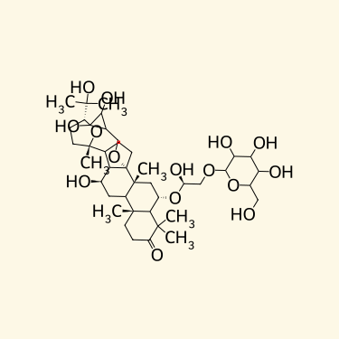 CC1(C)C(=O)CC[C@@]2(C)C1[C@@H](O[C@@H](O)COC1OC(CO)C(O)C(O)C1O)C[C@]1(C)C2C[C@@H](O)C2C([C@]3(C)CC[C@H](C(C)(C)O)O3)CC[C@]21OCC1C(O)C1O